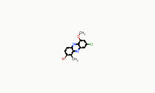 COc1cc(Cl)cc2nc3c(C)c(Br)ccc3nc12